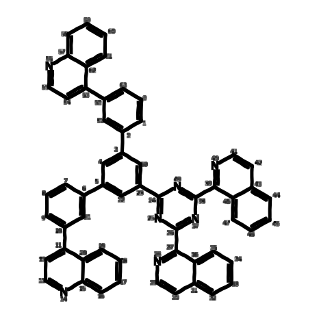 c1cc(-c2cc(-c3cccc(-c4ccnc5ccccc45)c3)cc(-c3nc(-c4nccc5ccccc45)nc(-c4nccc5ccccc45)n3)c2)cc(-c2ccnc3ccccc23)c1